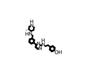 C[C@@H]1CNCC[C@H]1NCc1cccc(-c2ccnc(NCCc3ccc(O)cc3)n2)c1